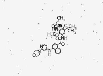 CCCS(=O)(=O)Nc1cc(C(C)(C)C)cc(NC(=O)C(=O)c2ccc(Nc3ccnc(N4CCOCC4)c3)c3ccccc23)c1OC